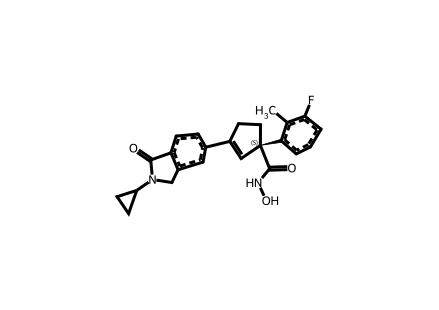 Cc1c(F)cccc1[C@@]1(C(=O)NO)C=C(c2ccc3c(c2)CN(C2CC2)C3=O)CC1